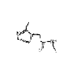 Cc1nccn1CC(=O)NI